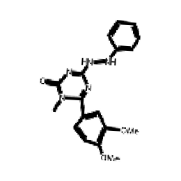 COc1ccc(-c2nc(NNc3ccccc3)nc(=O)n2C)cc1OC